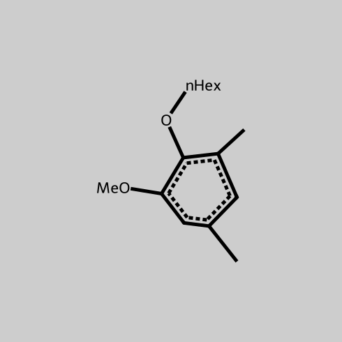 CCCCCCOc1c(C)cc(C)cc1OC